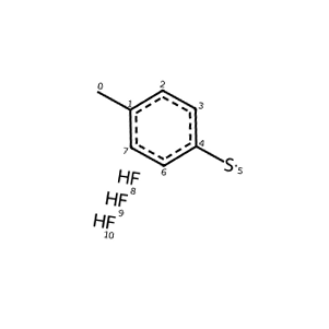 Cc1ccc([S])cc1.F.F.F